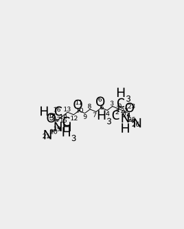 CC(C)(CCC(=O)CCCC(=O)CCC(C)(C)C(=O)NC#N)C(=O)NC#N